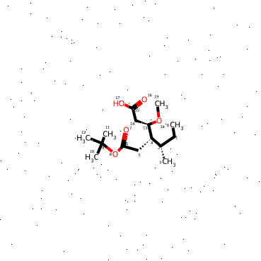 CC[C@H](C)[C@H](CC(=O)OC(C)(C)C)[C@@H](CC(=O)O)OC